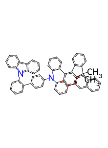 CC1(C)c2ccccc2-c2c(-c3ccccc3N(c3ccc(-c4ccccc4-n4c5ccccc5c5ccccc54)cc3)c3cccc(-c4ccc5ccccc5c4)c3)cccc21